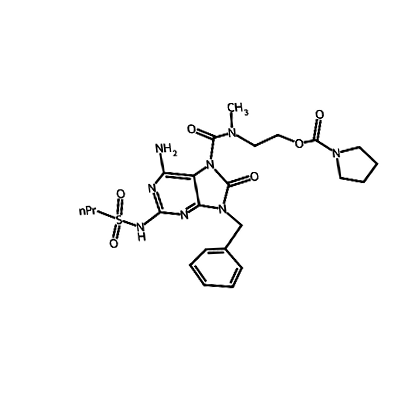 CCCS(=O)(=O)Nc1nc(N)c2c(n1)n(Cc1ccccc1)c(=O)n2C(=O)N(C)CCOC(=O)N1CCCC1